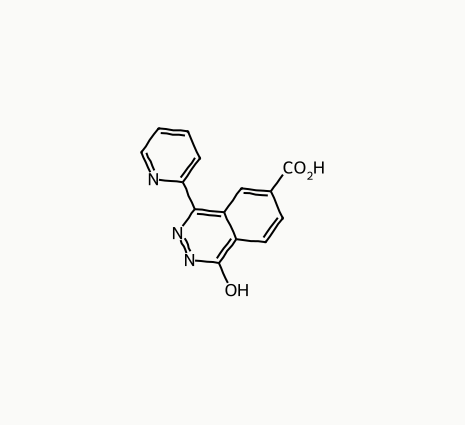 O=C(O)c1ccc2c(O)nnc(-c3ccccn3)c2c1